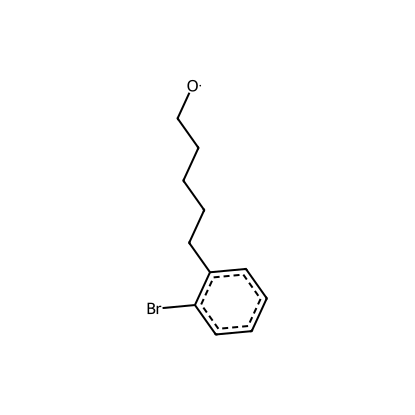 [O]CCCCCc1ccccc1Br